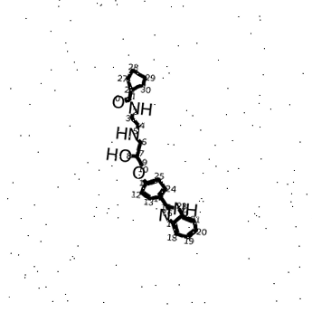 O=C(NCCNCC(O)COc1ccc(-c2nc3ccccc3[nH]2)cc1)C1CCCC1